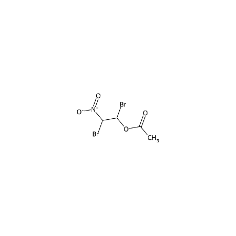 CC(=O)OC(Br)C(Br)[N+](=O)[O-]